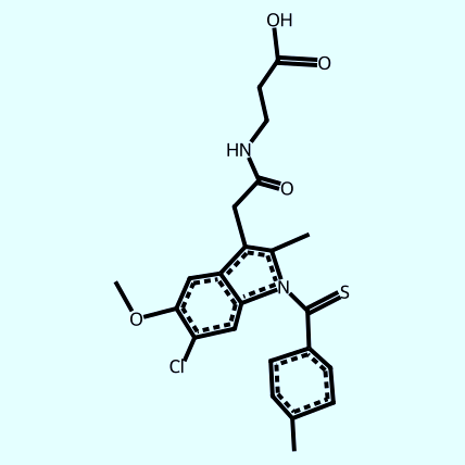 COc1cc2c(CC(=O)NCCC(=O)O)c(C)n(C(=S)c3ccc(C)cc3)c2cc1Cl